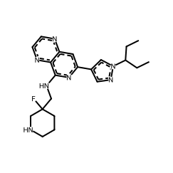 CCC(CC)n1cc(-c2cc3nccnc3c(NCC3(F)CCCNC3)n2)cn1